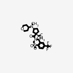 CC(O)[C@]1(C(=O)N2Cc3cc(C(F)(F)F)ccc3S(=O)(=O)C2)CC[C@@H](N(C)C2CCOCC2)C1